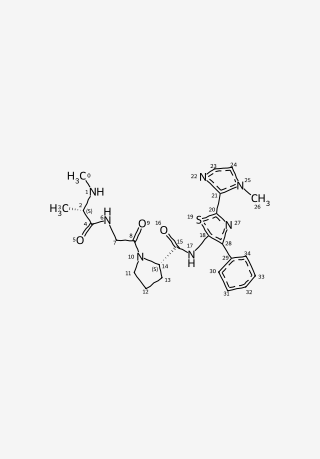 CN[C@@H](C)C(=O)NCC(=O)N1CCC[C@H]1C(=O)Nc1sc(-c2nccn2C)nc1-c1ccccc1